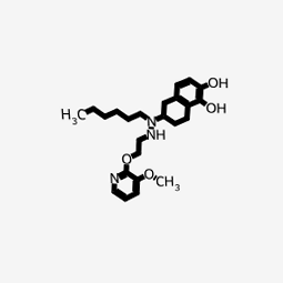 CCCCCCN(NCCOc1ncccc1OC)C1CCc2c(ccc(O)c2O)C1